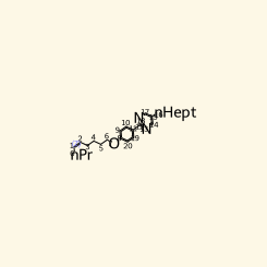 CCC/C=C\CCCCOc1ccc(-c2ncc(CCCCCCC)cn2)cc1